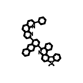 C[Si]1(C)c2ccccc2-c2c1ccc1nc(-c3ccc(-c4ccc5ccc6ccc(-c7ccccc7)nc6c5n4)c4cc5ccccc5cc34)c3ccccc3c21